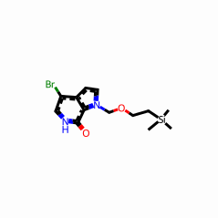 C[Si](C)(C)CCOCn1ccc2c(Br)c[nH]c(=O)c21